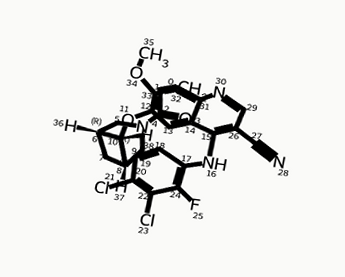 C=CC(=O)N1C[C@H]2C[C@@H](C1)[C@H]2Oc1cc2c(Nc3ccc(Cl)c(Cl)c3F)c(C#N)cnc2cc1OC